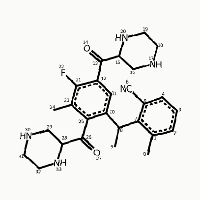 Cc1cccc(C#N)c1C(C)c1cc(C(=O)C2CNCCN2)c(F)c(C)c1C(=O)C1CNCCN1